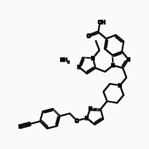 CCn1cncc1Cn1c(CN2CCC(c3ccn(OCc4ccc(C#N)cc4)n3)CC2)nc2ccc(C(=O)O)cc21.N